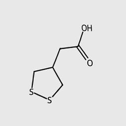 O=C(O)CC1CSSC1